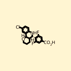 O=C(O)c1cc(F)c([C@H]2Nc3ccc(Cl)cc3[C@@H]3OCCC[C@H]23)c(F)c1